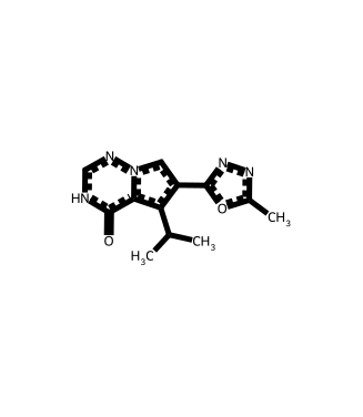 Cc1nnc(-c2cn3nc[nH]c(=O)c3c2C(C)C)o1